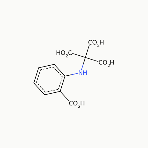 O=C(O)c1ccccc1NC(C(=O)O)(C(=O)O)C(=O)O